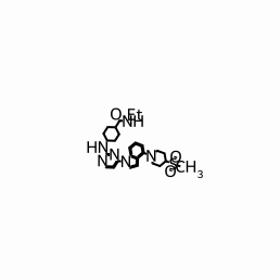 CCNC(=O)C1CCC(Nc2nccc(-n3ccc4c(N5CCC(S(C)(=O)=O)CC5)cccc43)n2)CC1